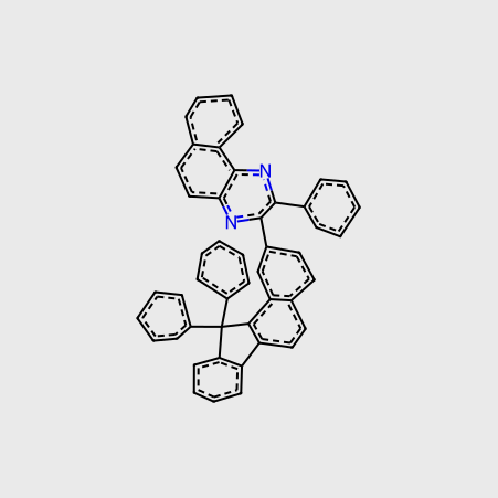 c1ccc(-c2nc3c(ccc4ccccc43)nc2-c2ccc3ccc4c(c3c2)C(c2ccccc2)(c2ccccc2)c2ccccc2-4)cc1